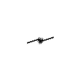 C=CCCCCCCCCC(=O)O[Te](Br)(Br)OC(=O)CCCCCCCCC=C